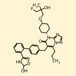 CCCc1c(Cc2ccc(-c3ccccc3C3=NOC(O)N3)cc2)c(=O)n([C@H]2CC[C@H](OCC(C)(O)CF)CC2)c2ncnn12